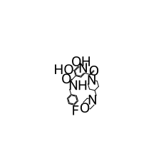 O=C(NCc1ccc(F)cc1)c1cc(C(=O)N2CCC(CN3CCOCC3)CC2)nc(O)c1O